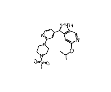 CC(C)Oc1cc2c(-c3ccnc(N4CCN(S(C)(=O)=O)CC4)c3)n[nH]c2cn1